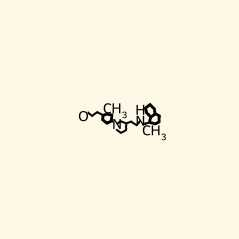 Cc1cc(N2CCCC(CCNC(C)c3cccc4ccccc34)C2)ccc1CCC=O